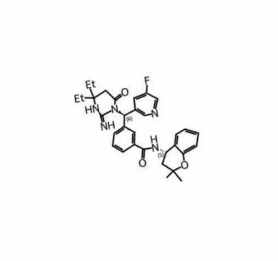 CCC1(CC)CC(=O)N([C@@H](c2cncc(F)c2)c2cccc(C(=O)N[C@H]3CC(C)(C)Oc4ccccc43)c2)C(=N)N1